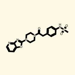 CS(=O)(=O)Nc1ccc(CC(=O)N2CCN(c3nc4ncccc4o3)CC2)cc1